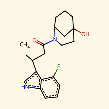 C.CC(CC(=O)N1CCC2(O)CCCC1C2)c1c[nH]c2cccc(F)c12